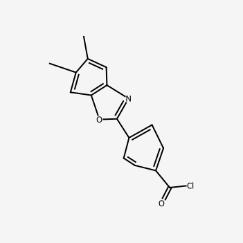 Cc1cc2nc(-c3ccc(C(=O)Cl)cc3)oc2cc1C